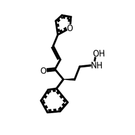 O=C(C=Cc1ccco1)[C@@H](CCNO)c1ccccc1